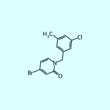 Cc1cc(Cl)cc(Cn2ccc(Br)cc2=O)c1